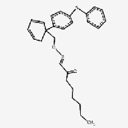 CCCCCCC(=O)C=NOCC1(c2ccc(Sc3ccccc3)cc2)C=CC=CC1